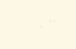 CCOC(=O)c1cc2c(nc1N)C(=O)CCCC2